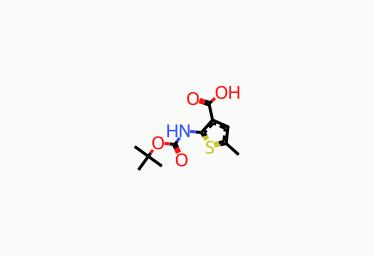 Cc1cc(C(=O)O)c(NC(=O)OC(C)(C)C)s1